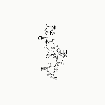 O=C(C1=CCN=N1)N1CCC2(CC1)O[C@@H]1CC[C@@H](c3cc(F)cc(F)c3)N1C2=O